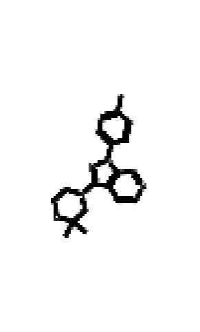 Cc1ccc(-n2nc(N3CCOC(C)(C)C3)c3ccncc32)cc1